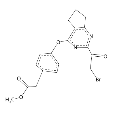 COC(=O)Cc1ccc(Oc2nc(C(=O)CBr)nc3c2CCC3)cc1